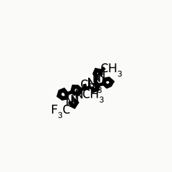 Cc1ccn(-c2nc(C(C)(C)c3ccc(-c4ccccc4)c(-n4ccc(C(F)(F)F)n4)n3)ccc2-c2ccccc2)n1